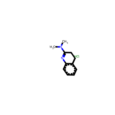 CN(C)C1=Nc2ccccc2CC1.Cl